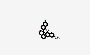 Cc1ccc2c3c(ccc2c1)C1(c2ccccc2Cc2ccccc21)c1ccc2cc(O)ccc2c1O3